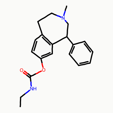 CCNC(=O)Oc1ccc2c(c1)C(c1ccccc1)CN(C)CC2